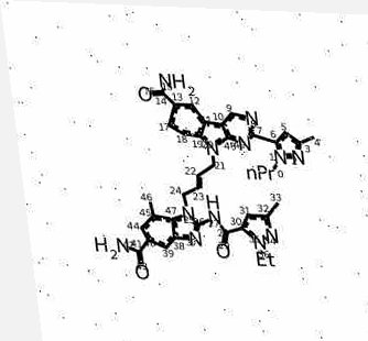 CCCn1nc(C)cc1-c1ncc2c3cc(C(N)=O)ccc3n(CC=CCn3c(NC(=O)c4cc(C)nn4CC)nc4cc(C(N)=O)cc(C)c43)c2n1